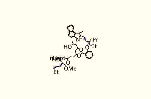 CC/C=C\C=C(/CO)C(OC)OC(CCCCCCC)CCC1CC(CC(C)O)OC(c2ccccc2O/C(CC)=C(\C=C\C2=[N+](C)c3ccc4ccccc4c3C2(C)C)CCC)O1